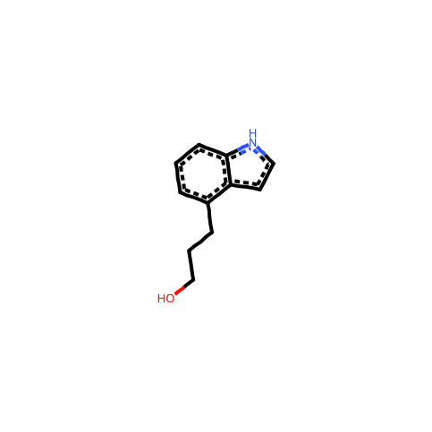 OCCCc1cccc2[nH]ccc12